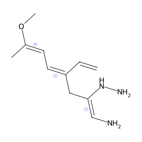 C=C/C(=C\C=C(/C)OC)C/C(=C/N)NN